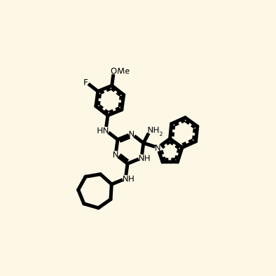 COc1ccc(NC2=NC(N)(n3ccc4ccccc43)NC(NC3CCCCCC3)=N2)cc1F